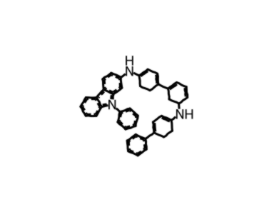 C1=CC(NC2=CC=C(c3ccccc3)CC2)CC(C2=CC=C(Nc3ccc4c5ccccc5n(-c5ccccc5)c4c3)CC2)=C1